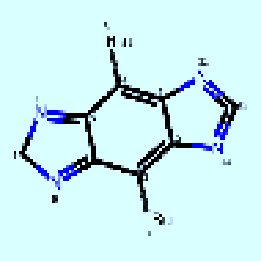 CC(C)(C)c1c2c(c(C(C)(C)C)c3c1=NCN=3)N=C=N2